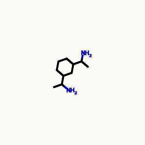 CC(N)C1CCCC(C(C)N)C1